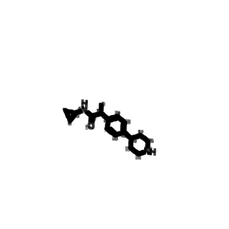 CC(C(=O)NC1CC1)c1ccc(C2CCNCC2)cc1